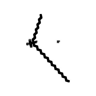 CCCCCCCCCCCCCCCCCCCCC(F)(CCCCCCCCCCC)S(=O)(=O)[O-].[K+]